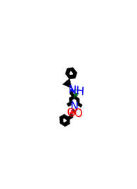 CC1CC(F)(CN[C@@H]2C[C@H]2c2ccccc2)CC(C)N1C(=O)OCc1ccccc1